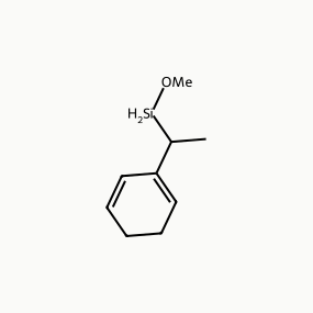 CO[SiH2]C(C)C1=CCCC=C1